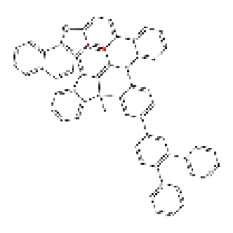 CC1(C)c2ccccc2-c2cccc(N(c3ccc(-c4ccc(-c5ccccc5)c(-c5ccccc5)c4)cc3)c3ccccc3-c3ccc4oc5c6ccccc6ccc5c4c3)c21